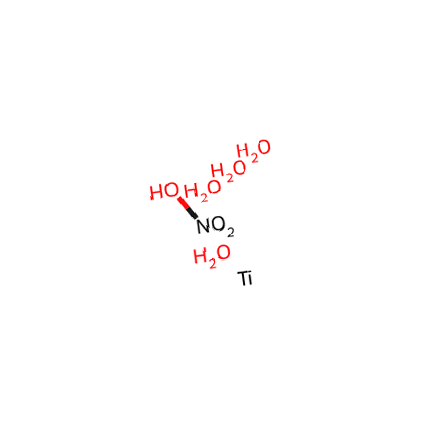 O.O.O.O.O=[N+]([O-])O.[Ti]